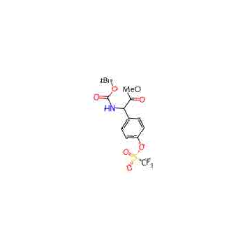 COC(=O)C(NC(=O)OC(C)(C)C)c1ccc(OS(=O)(=O)C(F)(F)F)cc1